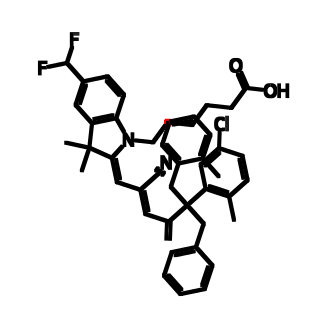 C=C(/C=C(C#N)/C=C1\N(CCCCCC(=O)O)c2ccc(C(F)F)cc2C1(C)C)C(Cc1ccccc1)(Cc1ccccc1C)c1cc(Cl)ccc1C